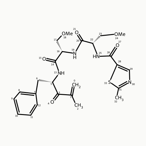 C=C(C)C(=O)[C@H](Cc1ccccc1)NC(=O)[C@H](COC)NC(=O)[C@H](COC)NC(=O)c1cnc(C)s1